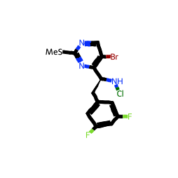 CSc1ncc(Br)c([C@H](Cc2cc(F)cc(F)c2)NCl)n1